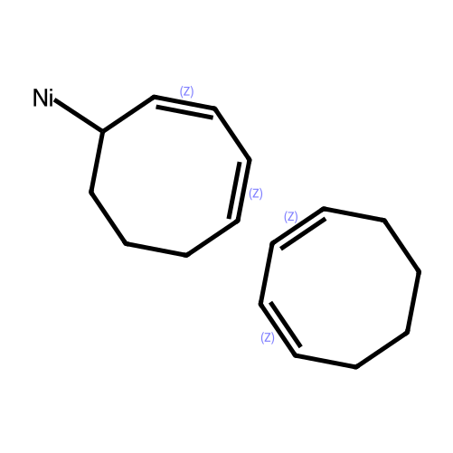 C1=C\CCCC\C=C/1.[Ni][CH]1/C=C\C=C/CCC1